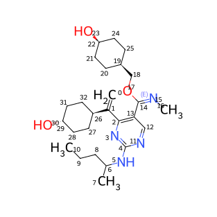 C=C(c1nc(NC(C)CCC)ncc1/C(=N\C)OC[C@H]1CC[C@@H](O)CC1)[C@H]1CC[C@H](O)CC1